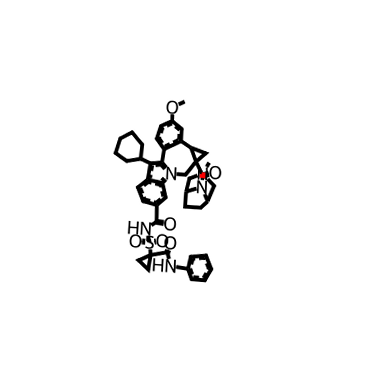 COc1ccc2c(c1)C1CC1(C(=O)N1C3CCC1CN(C)C3)Cn1c-2c(C2CCCCC2)c2ccc(C(=O)NS(=O)(=O)C3(C(=O)Nc4ccccc4)CC3)cc21